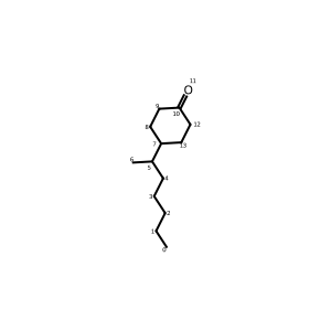 CCCCCC(C)C1CCC(=O)CC1